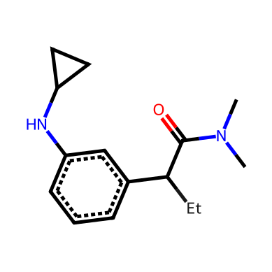 CCC(C(=O)N(C)C)c1cccc(NC2CC2)c1